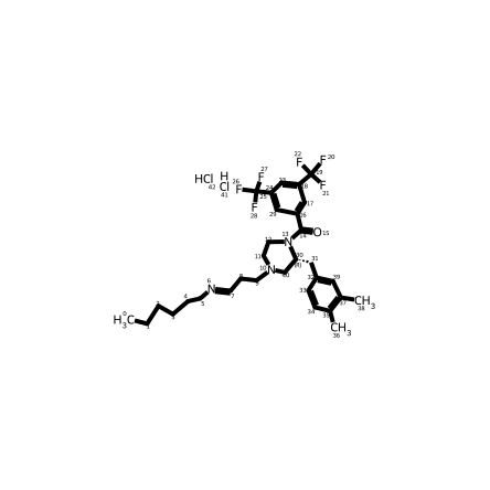 CCCCCCN=CCCN1CCN(C(=O)c2cc(C(F)(F)F)cc(C(F)(F)F)c2)[C@H](Cc2ccc(C)c(C)c2)C1.Cl.Cl